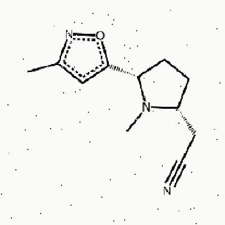 Cc1cc([C@@H]2CC[C@H](CC#N)N2C)on1